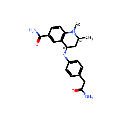 CC(=O)N1c2ccc(C(N)=O)cc2[C@H](Nc2ccc(CC(N)=O)cc2)C[C@@H]1C